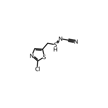 N#CN=[SH]Cc1cnc(Cl)s1